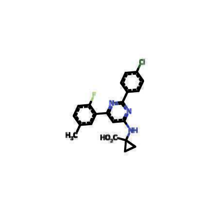 Cc1ccc(F)c(-c2cc(NC3(C(=O)O)CC3)nc(-c3ccc(Cl)cc3)n2)c1